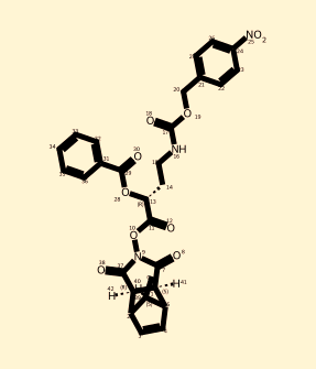 C[C@@H]1C2C=CC1[C@@H]1C(=O)N(OC(=O)[C@@H](CCNC(=O)OCc3ccc([N+](=O)[O-])cc3)OC(=O)c3ccccc3)C(=O)[C@H]21